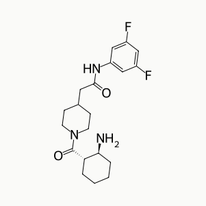 N[C@H]1CCCC[C@@H]1C(=O)N1CCC(CC(=O)Nc2cc(F)cc(F)c2)CC1